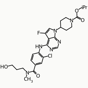 CC(C)OC(=O)N1CCC(n2cc(F)c3c(Nc4ccc(C(=O)N(C)CCCO)cc4Cl)ncnc32)CC1